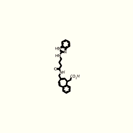 O=C(O)CC1C=C(CNC(=O)CCCNc2nc3ccccc3[nH]2)C=Cc2ccccc21